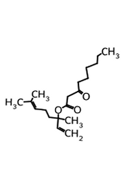 C=CC(C)(CCC=C(C)C)OC(=O)CC(=O)CCCCCC